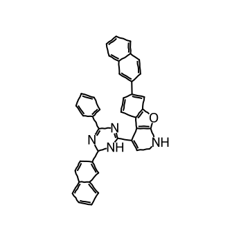 C1=C(C2=NC(c3ccccc3)=NC(c3ccc4ccccc4c3)N2)c2c(oc3cc(-c4ccc5ccccc5c4)ccc23)NC1